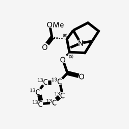 COC(=O)[C@@H]1C2CCC(C[C@@H]1OC(=O)[13c]1[13cH][13cH][13cH][13cH][13cH]1)N2C